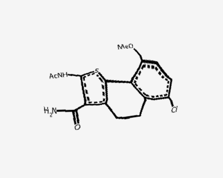 COc1ccc(Cl)c2c1-c1sc(NC(C)=O)c(C(N)=O)c1CC2